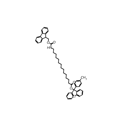 Cc1ccc(C(OC(=O)CCCCCCCCCCCCCCNC(=O)OCC2c3ccccc3-c3ccccc32)(c2ccccc2)c2ccccc2Cl)cc1